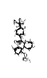 COc1ccccc1-c1cccnc1C(=O)c1ccc(C(F)(F)F)cc1